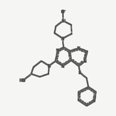 [O-][S+]1CCN(c2nc(N3CCC(O)CC3)nc3c(SCc4ccccc4)ncnc23)CC1